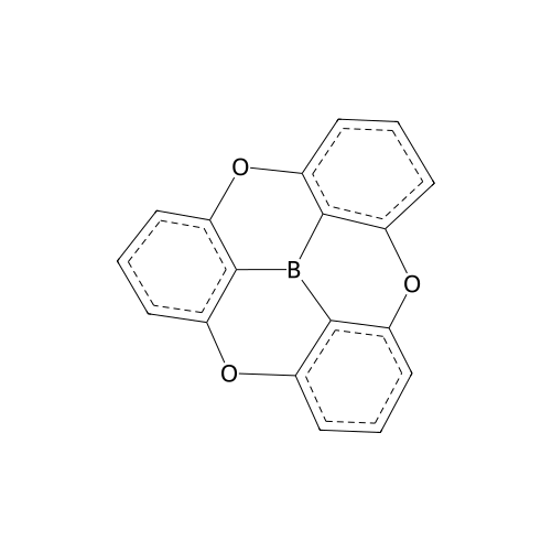 c1cc2c3c(c1)Oc1cccc4c1B3c1c(cccc1O4)O2